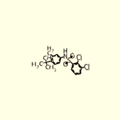 Cc1cc(NS(=O)(=O)c2cccc(Cl)c2Cl)ccc1C(C)(C)C